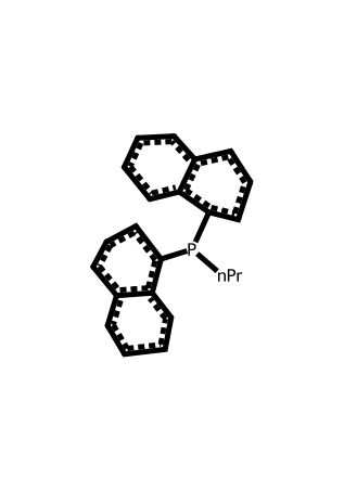 CCCP(c1cccc2ccccc12)c1cccc2ccccc12